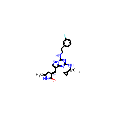 C=C1C/C(=C\c2cnn3c(NCCc4cccc(F)c4)nc(N[C@H](C)C4CC4)nc23)C(=O)N1